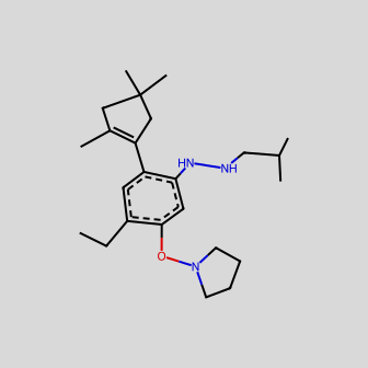 CCc1cc(C2=C(C)CC(C)(C)C2)c(NNCC(C)C)cc1ON1CCCC1